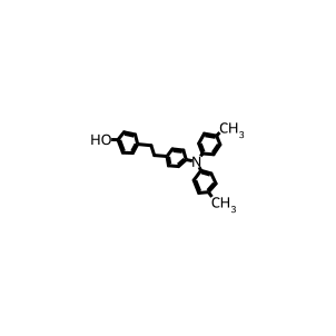 Cc1ccc(N(c2ccc(C)cc2)c2ccc(CCc3ccc(O)cc3)cc2)cc1